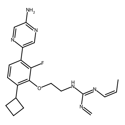 C=N/C(=N\C=C/C)NCCOc1c(C2CCC2)ccc(-c2cnc(N)cn2)c1F